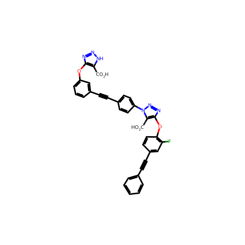 O=C(O)c1[nH]nnc1Oc1cccc(C#Cc2ccc(-n3nnc(Oc4ccc(C#Cc5ccccc5)cc4F)c3C(=O)O)cc2)c1